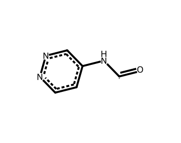 O=[C]Nc1ccnnc1